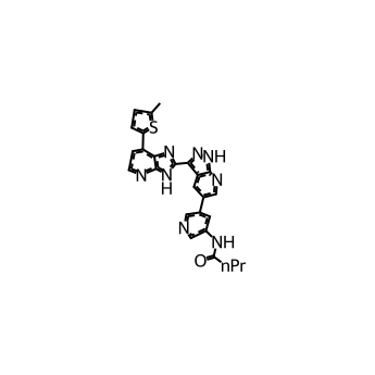 CCCC(=O)Nc1cncc(-c2cnc3[nH]nc(-c4nc5c(-c6ccc(C)s6)ccnc5[nH]4)c3c2)c1